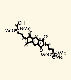 CO[Si](CO)(CCCN1C(=O)C2CC3C(=O)N(CCC[Si](OC)(OC)OC)C(=O)C3CC2C1=O)OC